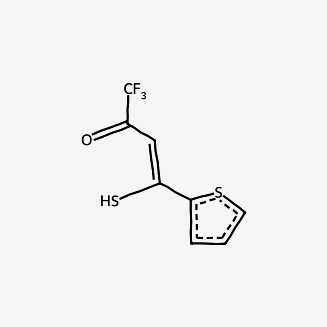 O=C(C=C(S)c1cccs1)C(F)(F)F